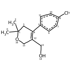 CC1(C)CC(c2ccc(Cl)cc2)=C(CO)CO1